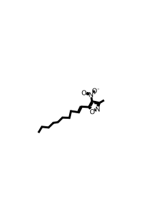 CCCCCCCCC=Cc1onc(C)c1[N+](=O)[O-]